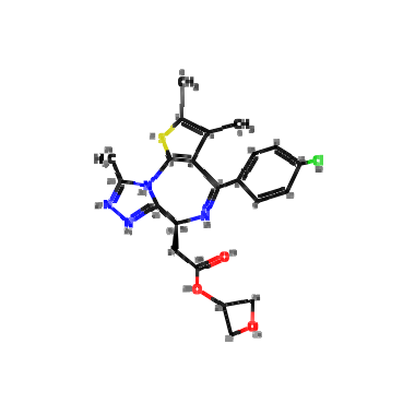 Cc1sc2c(c1C)C(c1ccc(Cl)cc1)=N[C@@H](CC(=O)OC1COC1)c1nnc(C)n1-2